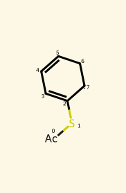 CC(=O)SC1=CC=CC[CH]1